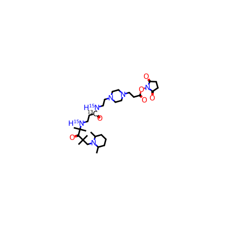 CC1CCCC(C)N1CC(C)(C)C(=O)C(C)(C)[15NH]CC[13C](=O)[15NH]CCN1CCN(CCC(=O)ON2C(=O)CCC2=O)CC1